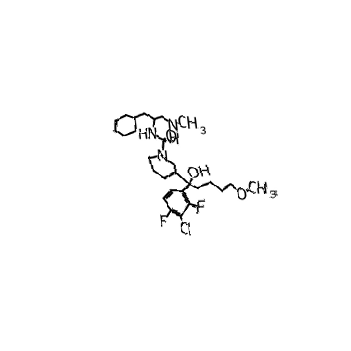 CNCC(CC1CCCCC1)NC(=O)N1CCCC([C@](O)(CCCCOC)c2ccc(F)c(Cl)c2F)C1